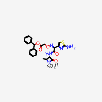 CC1[C@H](NC(=O)C(=NOCC(=O)OC(c2ccccc2)c2ccccc2)c2csc(N)n2)C(=O)N1S(=O)(=O)O